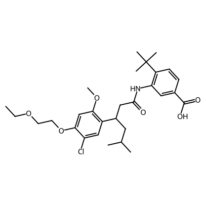 CCOCCOc1cc(OC)c(C(CC(=O)Nc2cc(C(=O)O)ccc2C(C)(C)C)CC(C)C)cc1Cl